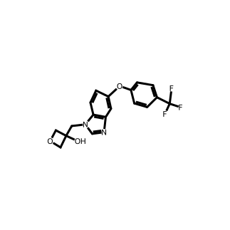 OC1(Cn2cnc3cc(Oc4ccc(C(F)(F)F)cc4)ccc32)COC1